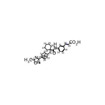 Cc1nc(C23CCC(CC4(C(=O)Nc5cccc(/C=C/C(=O)O)c5)CCCCC4)(CC2)CC3)no1